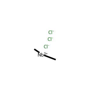 [CH3][Nb+3][CH3].[Cl-].[Cl-].[Cl-]